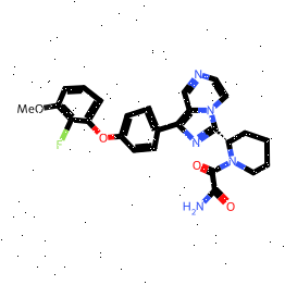 COc1cccc(Oc2ccc(-c3nc([C@@H]4CCCCN4C(=O)C(N)=O)n4ccncc34)cc2)c1F